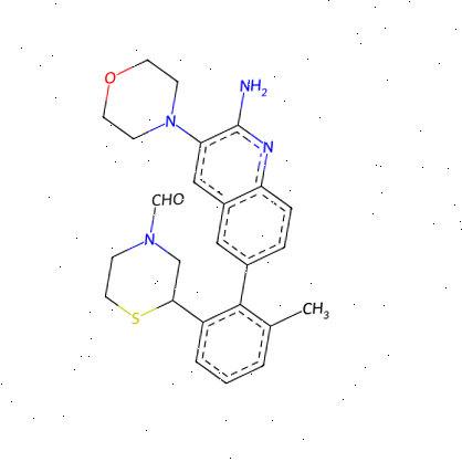 Cc1cccc(C2CN(C=O)CCS2)c1-c1ccc2nc(N)c(N3CCOCC3)cc2c1